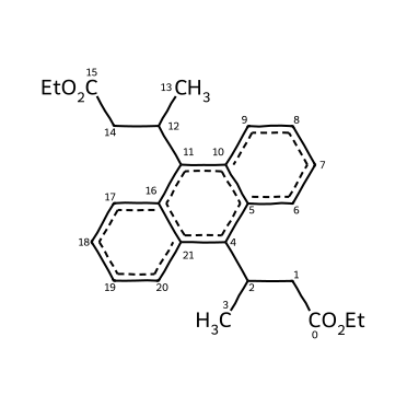 CCOC(=O)CC(C)c1c2ccccc2c(C(C)CC(=O)OCC)c2ccccc12